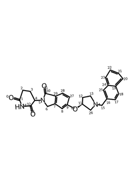 O=C1CCC(N2Cc3cc(O[C@H]4CCN(Cc5ccc6ccccc6c5)C4)ccc3C2=O)C(=O)N1